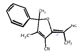 [C-]#[N+]/C(C)=C1\OC(C)(c2ccccc2)C(C)=C1C#N